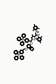 C=Nc1cc(C)cc(C)c1N(C)C(CC(C)/C=C/C(Oc1ccc(OCc2ccc([PH](c3ccccc3)(c3ccccc3)c3ccccc3)cc2)c2c1C1C=CC2C1)c1ccc([PH](c2ccccc2)(c2ccccc2)c2ccccc2)cc1)CN(C)c1c(C)cc(C)cc1C